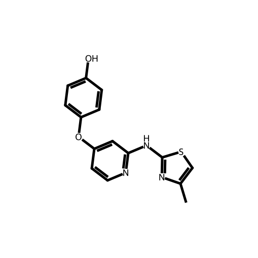 Cc1csc(Nc2cc(Oc3ccc(O)cc3)ccn2)n1